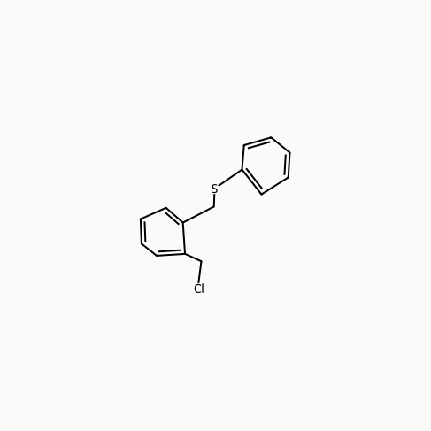 ClCc1ccccc1CSc1ccccc1